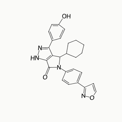 O=C1c2[nH]nc(-c3ccc(O)cc3)c2C(C2CCCCC2)N1c1ccc(-c2ccon2)cc1